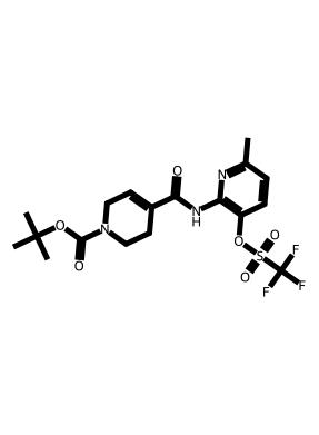 Cc1ccc(OS(=O)(=O)C(F)(F)F)c(NC(=O)C2=CCN(C(=O)OC(C)(C)C)CC2)n1